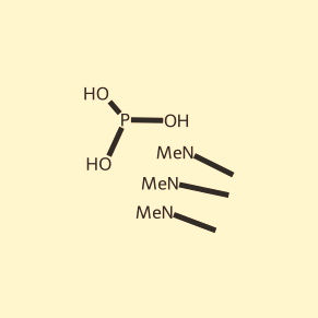 CNC.CNC.CNC.OP(O)O